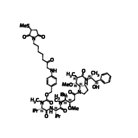 CC[C@H](C)[C@@H]([C@@H](CC(=O)N1CCC[C@H]1[C@H](OC)[C@@H](C)C(=O)N[C@H](C)[C@@H](O)c1ccccc1)OC)N(C)C(=O)[C@@H](NC(=O)[C@H](C(C)C)N(C)C(=O)OCc1ccc(NCC(=O)CCCCCN2C(=O)CC(SC)C2=O)cc1)C(C)C